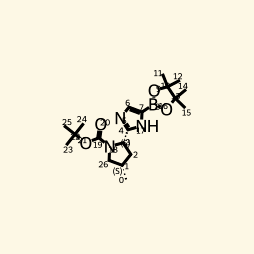 C[C@H]1C[C@@H](c2ncc(B3OC(C)(C)C(C)(C)O3)[nH]2)N(C(=O)OC(C)(C)C)C1